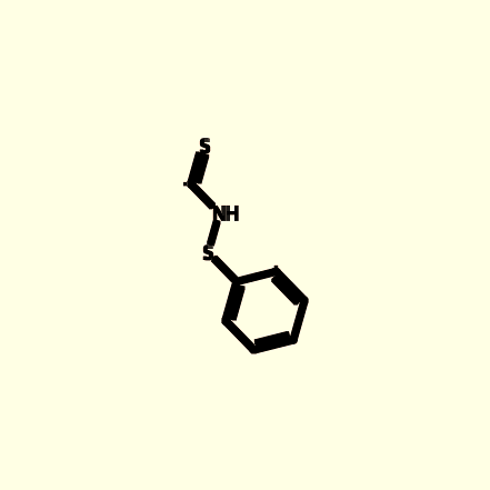 S=[C]NSc1[c]cccc1